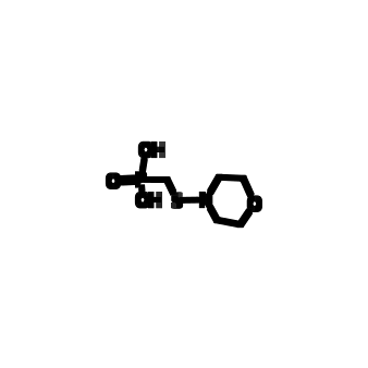 O=P(O)(O)CSN1CCOCC1